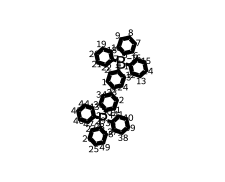 c1ccc([B-](c2ccccc2)(c2ccccc2)c2ccccc2)cc1.c1ccc([P+](c2ccccc2)(c2ccccc2)c2ccccc2)cc1